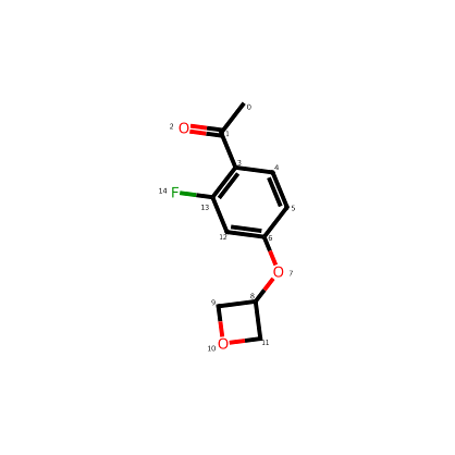 CC(=O)c1ccc(OC2COC2)cc1F